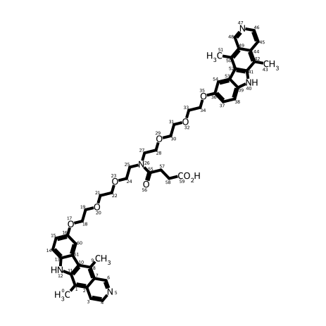 Cc1c2ccncc2c(C)c2c1[nH]c1ccc(OCCOCCOCCN(CCOCCOCCOc3ccc4[nH]c5c(C)c6ccncc6c(C)c5c4c3)C(=O)CCC(=O)O)cc12